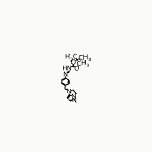 CC(C)(C)OC(=O)NC=Nc1ccc(CN2CCn3nccc32)cc1